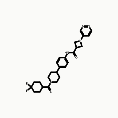 O=C(Nc1ccc(C2CCN(C(=O)C3CCC(F)(F)CC3)CC2)cc1)C1CN(c2ccnnc2)C1